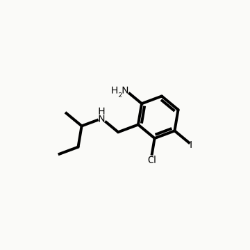 CCC(C)NCc1c(N)ccc(I)c1Cl